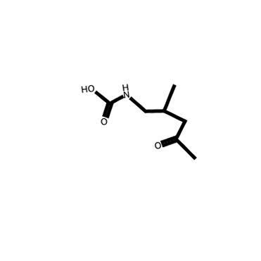 CC(=O)CC(C)CNC(=O)O